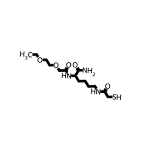 CCOCCOCC(=O)NC(CCCCNC(=O)CS)C(N)=O